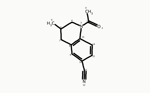 CC(=O)N1CC(C)Cc2cc(C#N)ccc21